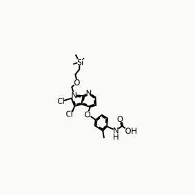 Cc1cc(Oc2ccnc3c2c(Cl)c(Cl)n3COCC[Si](C)(C)C)ccc1NC(=O)O